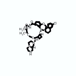 C[C@@H]1[C@@H](C)CCC[C@H](CN2CCN3CCNC[C@@H]3C2)[C@@H]2CC[C@H]2CN2C[C@@]3(CCCc4cc(Cl)ccc43)COc3ccc(cc32)C(=O)NS1(=O)=O